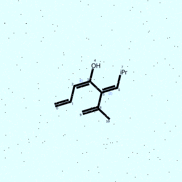 C=C/C=C(O)\C(=C/C(C)C)C(=C)C